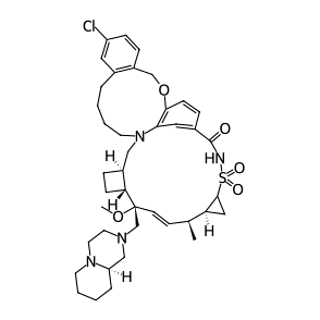 CO[C@@]1(CN2CCN3CCCC[C@@H]3C2)/C=C/[C@H](C)[C@@H]2CC2S(=O)(=O)NC(=O)c2ccc3c(c2)N(CCCCc2cc(Cl)ccc2CO3)C[C@@H]2CC[C@H]21